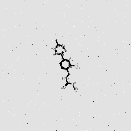 Cc1nnc(-c2ccc(CNC(=O)OC(C)(C)C)c(C(F)(F)F)c2)nn1